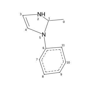 CC1NC=CN1c1ccccc1